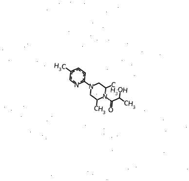 Cc1ccc(N2CC(C)N(C(=O)C(C)O)C(C)C2)nc1